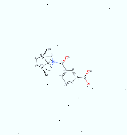 CC1(C)[C@@H]2CC[C@@]1(C)CN(C(=O)c1cccc(C(=O)O)c1)C2